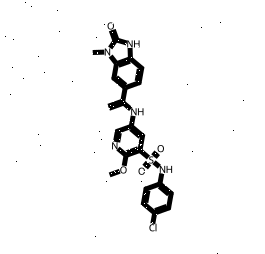 C=C(Nc1cnc(OC)c(S(=O)(=O)Nc2ccc(Cl)cc2)c1)c1ccc2[nH]c(=O)n(C)c2c1